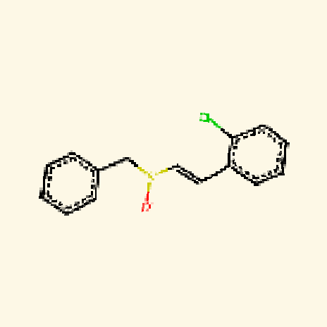 [O-][S+](/C=C/c1ccccc1Cl)Cc1ccccc1